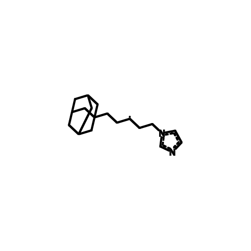 [CH](CCn1ccnc1)CCC12CC3CC(CC(C3)C1)C2